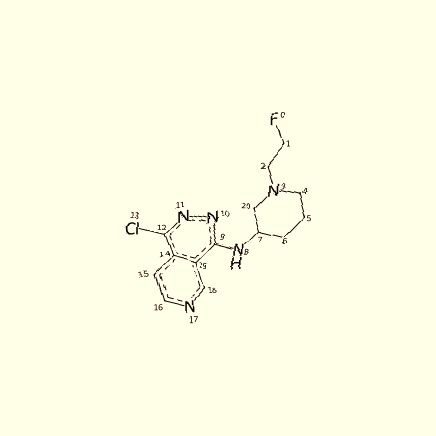 FCCN1CCCC(Nc2nnc(Cl)c3ccncc23)C1